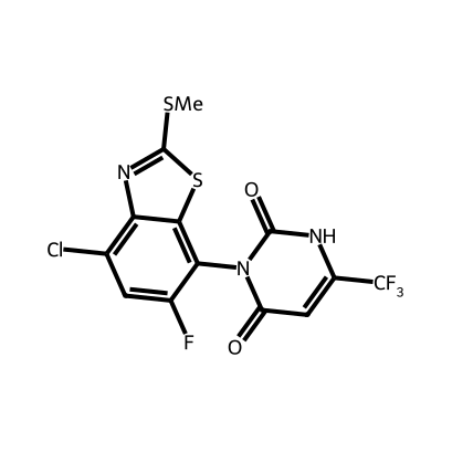 CSc1nc2c(Cl)cc(F)c(-n3c(=O)cc(C(F)(F)F)[nH]c3=O)c2s1